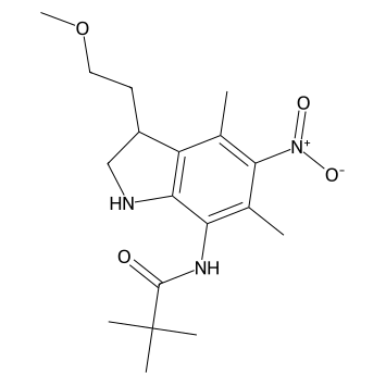 COCCC1CNc2c(NC(=O)C(C)(C)C)c(C)c([N+](=O)[O-])c(C)c21